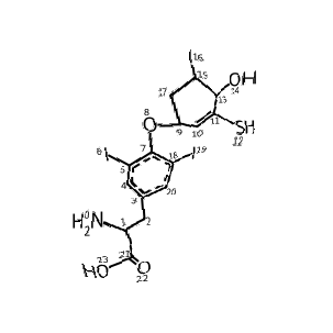 NC(Cc1cc(I)c(OC2C=C(S)C(O)C(I)C2)c(I)c1)C(=O)O